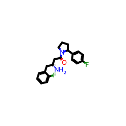 N[C@@H](CC(=O)N1CCCC1c1ccc(F)cc1)Cc1ccccc1F